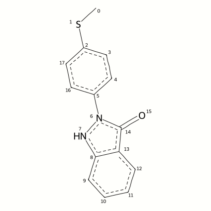 CSc1ccc(-n2[nH]c3ccccc3c2=O)cc1